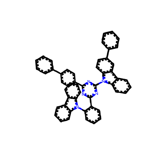 c1ccc(-c2ccc(-c3nc(-c4ccccc4-n4c5ccccc5c5ccccc54)nc(-n4c5ccccc5c5cc(-c6ccccc6)ccc54)n3)cc2)cc1